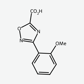 COc1ccccc1-c1noc(C(=O)O)n1